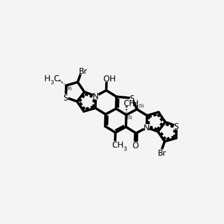 CC1=C2C(=O)n3c(cc4scc(Br)c43)[C@H]3SC4=C(C(=C1)c1cc5c(n1C4O)C(Br)[C@@H](C)S5)[C@]23C